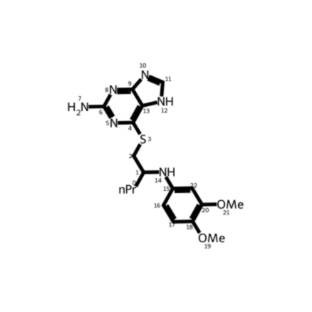 CCCC(CSc1nc(N)nc2nc[nH]c12)Nc1ccc(OC)c(OC)c1